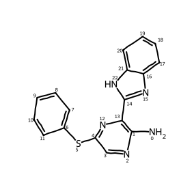 Nc1ncc(Sc2ccccc2)nc1-c1nc2ccccc2[nH]1